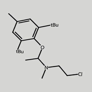 Cc1cc(C(C)(C)C)c(OC(C)N(C)CCCl)c(C(C)(C)C)c1